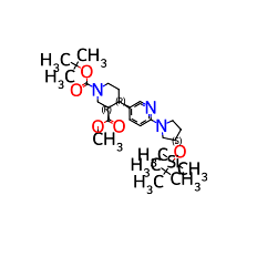 COC(=O)[C@H]1CN(C(=O)OC(C)(C)C)CC[C@H]1c1ccc(N2CC[C@H](O[Si](C)(C)C(C)(C)C)C2)nc1